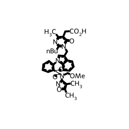 CCCCc1nc(C)c(CC(=O)O)c(=O)n1Cc1cn(-c2ccccc2S(=O)(=O)N(COC)c2noc(C)c2C)c2ccccc12